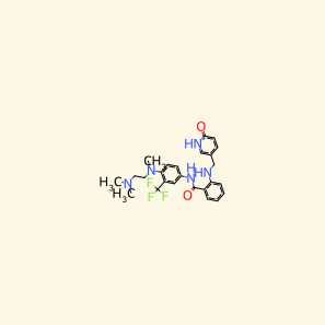 CN(C)CCN(C)c1ccc(NC(=O)c2ccccc2NCc2ccc(=O)[nH]c2)cc1C(F)(F)F